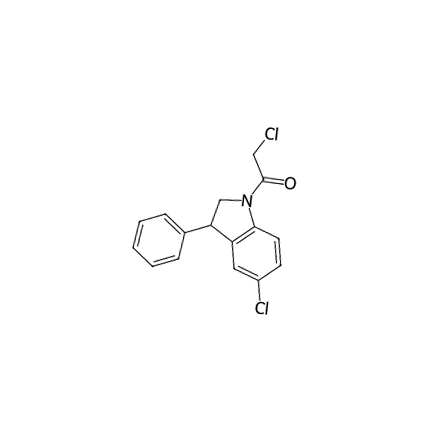 O=C(CCl)N1CC(c2ccccc2)c2cc(Cl)ccc21